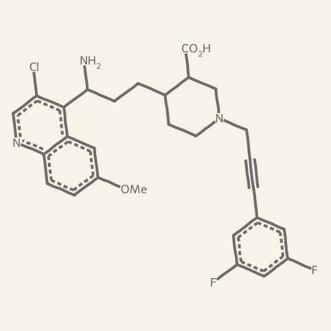 COc1ccc2ncc(Cl)c(C(N)CCC3CCN(CC#Cc4cc(F)cc(F)c4)CC3C(=O)O)c2c1